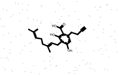 C#CCCc1cc(O)c(C/C=C(\C)CCC=C(C)C)c(O)c1C(=O)O